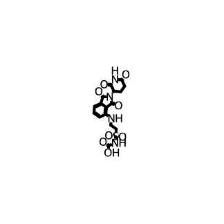 O=C(O)NS(=O)(=O)CCNc1cccc2c1C(=O)N(C1CCC(=O)NC1=O)C2=O